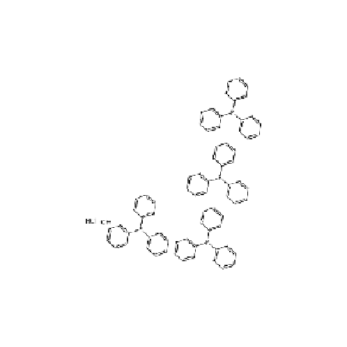 Cl.Cl.c1ccc(P(c2ccccc2)c2ccccc2)cc1.c1ccc(P(c2ccccc2)c2ccccc2)cc1.c1ccc(P(c2ccccc2)c2ccccc2)cc1.c1ccc(P(c2ccccc2)c2ccccc2)cc1